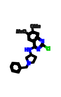 COc1cc2nc(Cl)nc(NC3CCN(Cc4ccccc4)C3)c2cc1OC